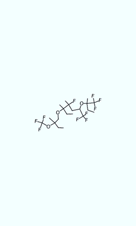 CCC(C)(COC(C)(CC)C(C)(F)CC(OC(C)(CC)C(F)(F)F)C(F)(F)F)OC(F)(F)F